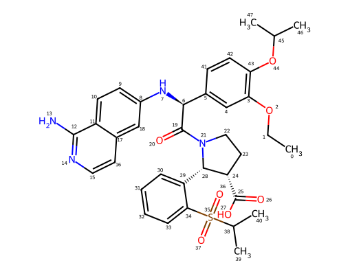 CCOc1cc([C@H](Nc2ccc3c(N)nccc3c2)C(=O)N2CC[C@H](C(=O)O)[C@@H]2c2ccccc2S(=O)(=O)C(C)C)ccc1OC(C)C